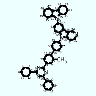 Cc1cc(-c2nc(-c3ccccc3)nc(-c3ccccc3)n2)ccc1-c1ccc(-n2c3ccncc3c3cc(-n4c5ccccc5c5ccccc54)ccc32)cc1